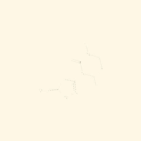 CCCN1CCC(O)N(c2nnc(SC)s2)C1=O